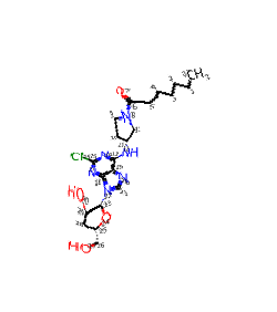 CCCCCCC(=O)N1CC[C@@H](Nc2nc(Cl)nc3c2ncn3[C@@H]2O[C@H](CO)C[C@H]2O)C1